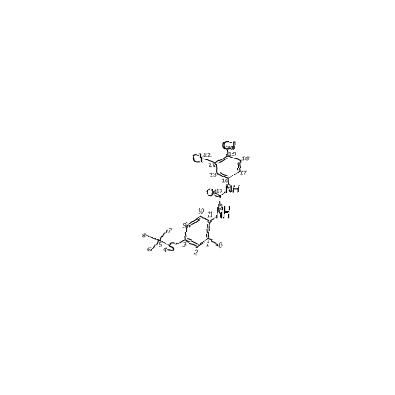 Cc1cc(SC(C)(C)C)ccc1NC(=O)Nc1ccc(Cl)c(Cl)c1